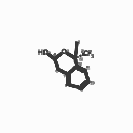 C[C@]1(C(F)(F)F)OC(O)Cc2ccccc21